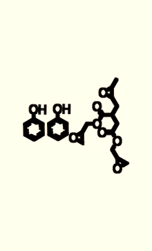 CC1OC1CC(CC(=O)OCC1CO1)C(=O)OCC1CO1.Oc1ccccc1.Oc1ccccc1